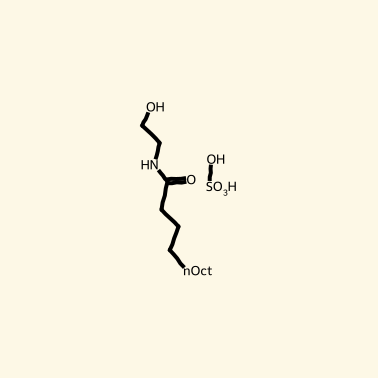 CCCCCCCCCCCC(=O)NCCO.O=S(=O)(O)O